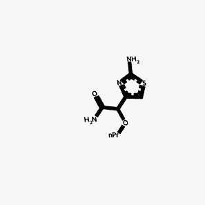 CCCOC(C(N)=O)c1csc(N)n1